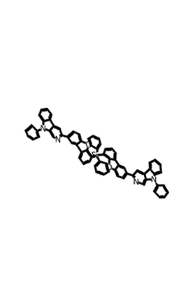 c1ccc(-n2c3ccccc3c3cc(-c4ccc5oc6c([Si](c7ccccc7)(c7ccccc7)c7cccc8c7oc7ccc(-c9cc%10c%11ccccc%11n(-c%11ccccc%11)c%10cn9)cc78)cccc6c5c4)ncc32)cc1